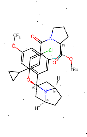 CC(C)(C)OC(=O)[C@@H]1CCCN1C(=O)c1cc(C2CC2)c(CN2[C@@H]3CC[C@H]2C[C@@H](Oc2cc(Cl)cc(OC(F)(F)F)c2)C3)cc1F